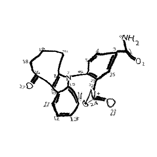 NC(=O)c1ccc(-n2c3c(c4ccccc42)C(=O)CCC3)c([N+](=O)[O-])c1